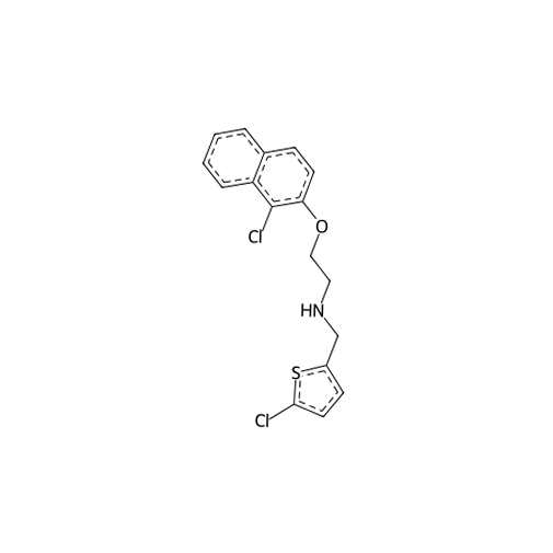 Clc1ccc(CNCCOc2ccc3ccccc3c2Cl)s1